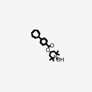 CC1(C)CC(OC(=O)c2ccc(C3C=CC=CC=C3)cc2)CC(C)(C)N1O